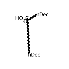 CCCCCCCCCCCCCCCCCCCCCCCCCCCCCCC(=O)C(CCCCCCCCCCCCCCCC)C(=O)O